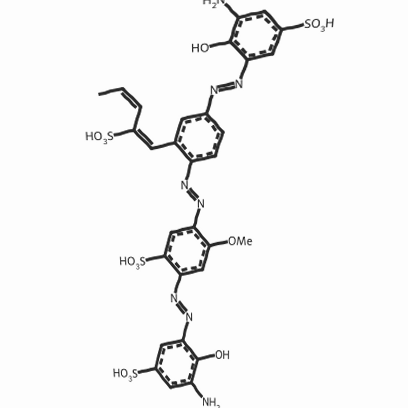 C/C=C\C(=C/c1cc(N=Nc2cc(S(=O)(=O)O)cc(N)c2O)ccc1N=Nc1cc(S(=O)(=O)O)c(N=Nc2cc(S(=O)(=O)O)cc(N)c2O)cc1OC)S(=O)(=O)O